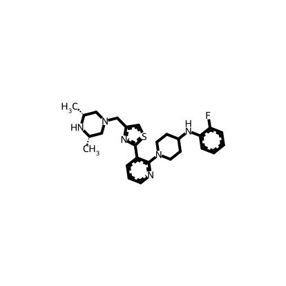 C[C@@H]1CN(Cc2csc(-c3cccnc3N3CCC(Nc4ccccc4F)CC3)n2)C[C@H](C)N1